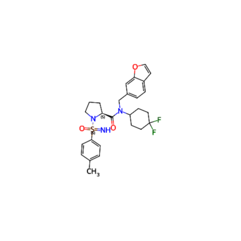 Cc1ccc([S@](=N)(=O)N2CCC[C@H]2C(=O)N(Cc2ccc3ccoc3c2)C2CCC(F)(F)CC2)cc1